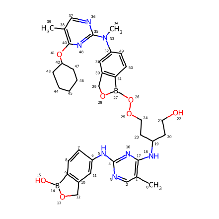 Cc1cnc(Nc2ccc3c(c2)COB3O)nc1NC(CCO)CCOOB1OCc2cc(N(C)c3ncc(C)c(OC4CCCCC4)n3)ccc21